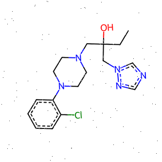 CCC(O)(CN1CCN(c2ccccc2Cl)CC1)Cn1cncn1